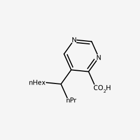 CCCCCCC(CCC)c1cncnc1C(=O)O